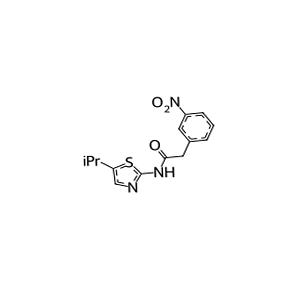 CC(C)c1cnc(NC(=O)Cc2cccc([N+](=O)[O-])c2)s1